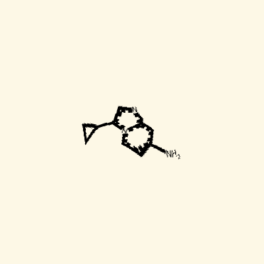 Nc1ccn2c(C3CC3)cnc2c1